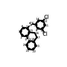 Cc1c[c]cc(Sc2cc(Cl)cc(Cl)c2)c1CCc1ccccc1